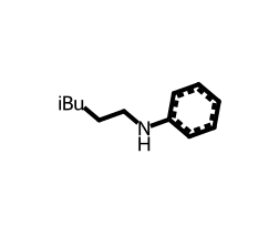 [CH2]C(CC)CCNc1ccccc1